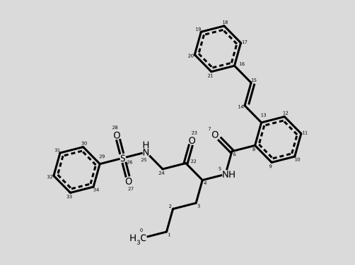 CCCCC(NC(=O)c1ccccc1C=Cc1ccccc1)C(=O)CNS(=O)(=O)c1ccccc1